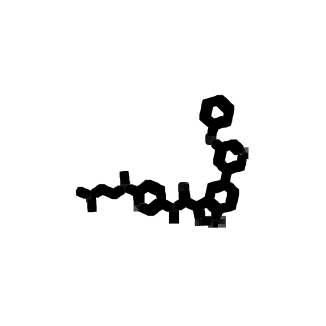 CN(C)CCN(C)c1ccc(NC(=O)c2n[nH]c3ccc(-c4cncc(Oc5ccccc5)c4)cc23)cn1